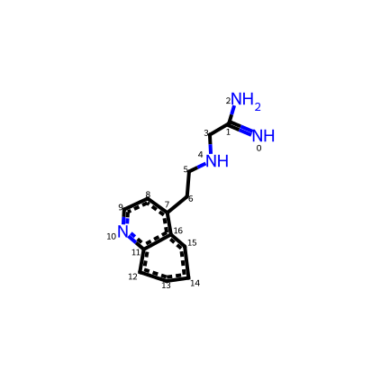 N=C(N)CNCCc1ccnc2ccccc12